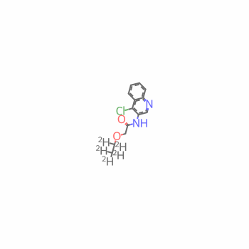 [2H]C([2H])([2H])C([2H])([2H])OCC(=O)Nc1cnc2ccccc2c1Cl